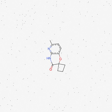 Cc1ccc2c(n1)NC(=O)C1(CCC1)O2